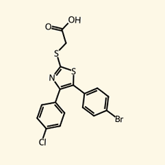 O=C(O)CSc1nc(-c2ccc(Cl)cc2)c(-c2ccc(Br)cc2)s1